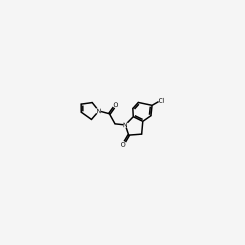 O=C(CN1C(=O)Cc2cc(Cl)ccc21)N1CC=CC1